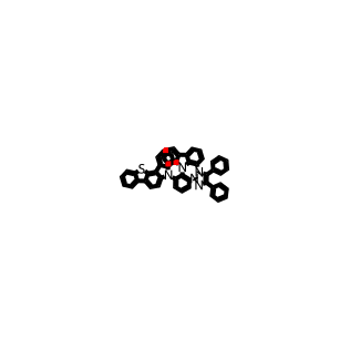 c1ccc(-c2nnn(-c3cccc4c5ccccc5n(-c5ccccc5-n5c6ccccc6c6c7sc8ccccc8c7ccc65)c34)c2-c2ccccc2)cc1